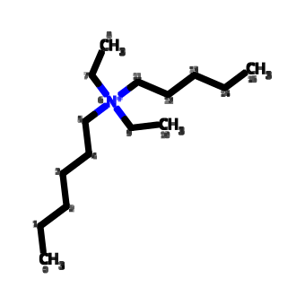 CCCCCC[N+](CC)(CC)CCCCC